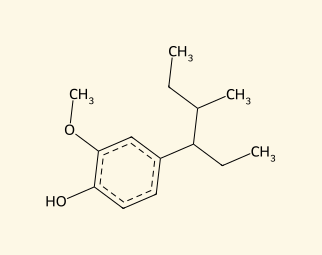 CCC(C)C(CC)c1ccc(O)c(OC)c1